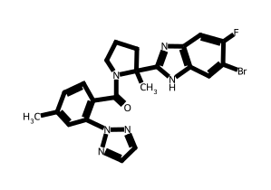 Cc1ccc(C(=O)N2CCCC2(C)c2nc3cc(F)c(Br)cc3[nH]2)c(-n2nccn2)c1